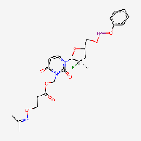 CC(C)=NOCCC(=O)OCn1c(=O)ccn(C2OC(COPOc3ccccc3)C[C@@]2(C)F)c1=O